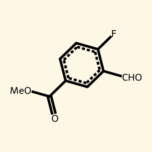 COC(=O)c1ccc(F)c(C=O)c1